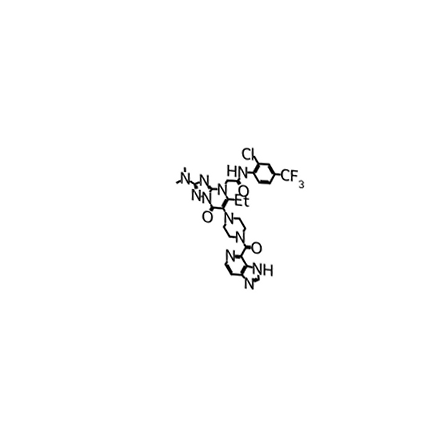 CCc1c(N2CCN(C(=O)c3nccc4nc[nH]c34)CC2)c(=O)n2nc(N(C)C)nc2n1CC(=O)Nc1ccc(C(F)(F)F)cc1Cl